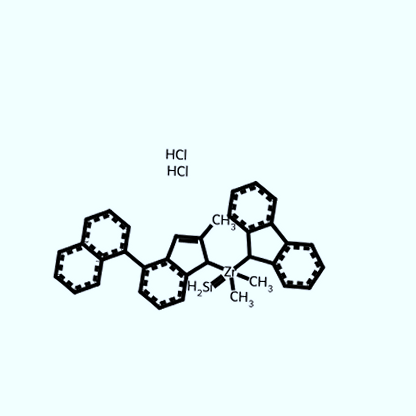 CC1=Cc2c(-c3cccc4ccccc34)cccc2[CH]1[Zr]([CH3])([CH3])(=[SiH2])[CH]1c2ccccc2-c2ccccc21.Cl.Cl